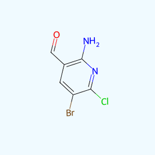 Nc1nc(Cl)c(Br)cc1C=O